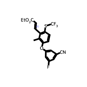 CCOC(=O)/C=C/c1c(SC(F)(F)F)ccc(Oc2cc(F)cc(C#N)c2)c1C